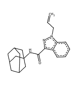 C=CCn1nc(C(=O)NC23CC4CC(CC(C4)C2)C3)c2ccccc21